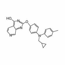 Cc1ccc(N(CC2CC2)c2ccc(Oc3nc(O)c4ccncc4n3)cc2)cc1